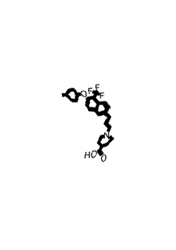 CC1CCC(Oc2ccc3cc(CCCN4CCC(C(=O)O)CC4)ccc3c2C(F)(F)F)CC1